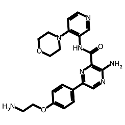 NCCOc1ccc(-c2cnc(N)c(C(=O)Nc3cnccc3N3CCOCC3)n2)cc1